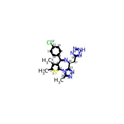 Cc1sc2c(c1C)C(c1ccc(Cl)cc1)=N[C@@H](Cc1nn[nH]n1)c1nnc(C)n1-2